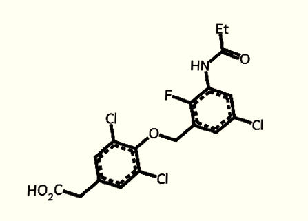 CCC(=O)Nc1cc(Cl)cc(COc2c(Cl)cc(CC(=O)O)cc2Cl)c1F